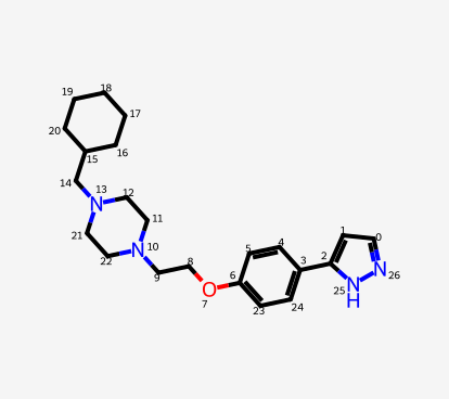 c1cc(-c2ccc(OCCN3CCN(CC4CCCCC4)CC3)cc2)[nH]n1